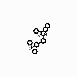 O=P(c1ccccc1)(c1ccccc1)c1ccc(-c2cccc(-c3nc4cc5ccccc5cc4c4c3sc3ccccc34)c2)cc1